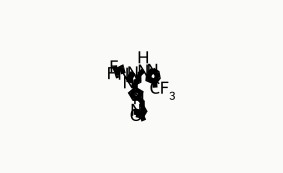 Cc1cc(CN2CCC(c3cc(Nc4cc(C(F)(F)F)ccn4)nc(N4CC(F)(F)C4)n3)C2)no1